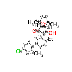 CCc1ccc(-c2ccc(Cl)cc2C)cc1C1=C(O)[C@H]2[C@@H](C1=O)[C@]1(C)CC[C@@]2(C)O1